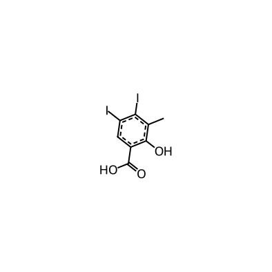 Cc1c(O)c(C(=O)O)cc(I)c1I